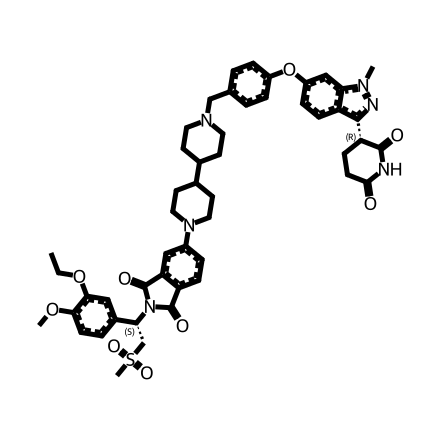 CCOc1cc([C@@H](CS(C)(=O)=O)N2C(=O)c3ccc(N4CCC(C5CCN(Cc6ccc(Oc7ccc8c([C@H]9CCC(=O)NC9=O)nn(C)c8c7)cc6)CC5)CC4)cc3C2=O)ccc1OC